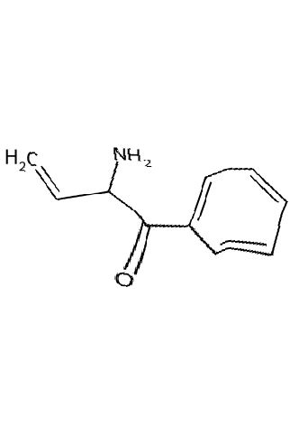 C=CC(N)C(=O)c1ccccc1